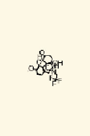 COc1ccc2c3c1O[C@H]1C(=O)CC[C@@]4(O)[C@@H]5N(CC(F)(F)F)[C@]5(C2)C[C@]314